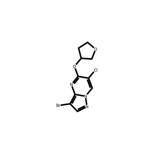 Clc1cn2ncc(Br)c2nc1OC1CCOC1